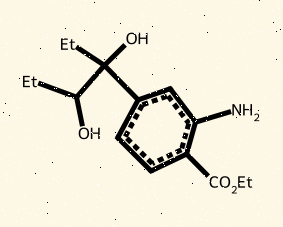 CCOC(=O)c1ccc(C(O)(CC)C(O)CC)cc1N